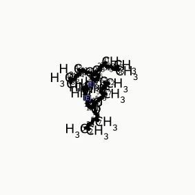 CC(C)CCCC(C)CCOc1ccc(/C=N/NC(=N)N/N=C/c2ccc(OCCC(C)CCCC(C)C)c(OCCC(C)CCCC(C)C)c2)cc1OCCC(C)CCCC(C)C